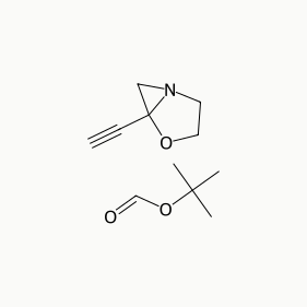 C#CC12CN1CCO2.CC(C)(C)OC=O